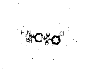 N[NH+]([O-])C1CCN(S(=O)(=O)c2cccc(Cl)c2)CC1